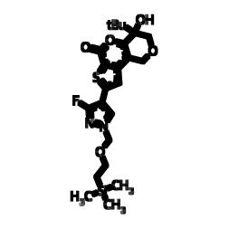 CC(C)(C)C1(O)COCc2c1oc(=O)c1sc(-c3cn(COCC[Si](C)(C)C)nc3F)cc21